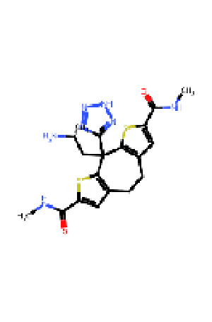 CNC(=O)c1cc2c(s1)C(C[C@@H](C)N)(c1nn[nH]n1)c1sc(C(=O)NC)cc1CC2